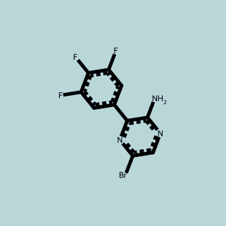 Nc1ncc(Br)nc1-c1cc(F)c(F)c(F)c1